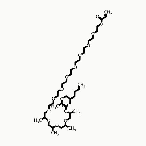 C=CC(=O)OCCOCCOCCOCCOCCOCCOCCOCCOCC(C)OCC(C)OCC(C)OCC(C)OCC(C)OCC(CC)CCCC